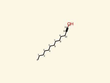 CCCCCCCCCCCC#CO